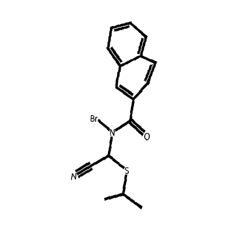 CC(C)SC(C#N)N(Br)C(=O)c1ccc2ccccc2c1